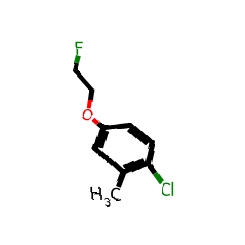 Cc1cc(OCCF)ccc1Cl